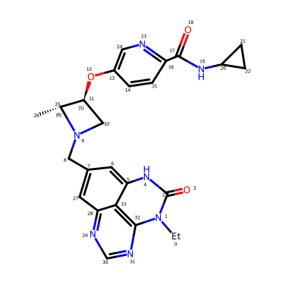 CCN1C(=O)Nc2cc(CN3C[C@H](Oc4ccc(C(=O)NC5CC5)nc4)[C@H]3C)cc3ncnc1c23